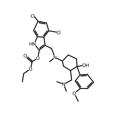 CCOC(=O)Oc1[nH]c2cc(Cl)cc(Cl)c2c1CN(C)C1CCC(O)(c2cccc(OC)c2)C(CN(C)C)C1